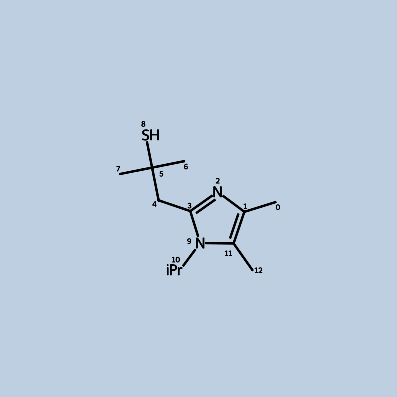 Cc1nc(CC(C)(C)S)n(C(C)C)c1C